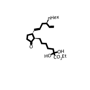 C=C[C@@H](CC=C[C@H]1CCC(=O)[C@@H]1CCCCCC(O)(O)C(=O)OCC)CCCCCC